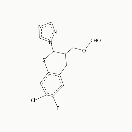 O=COCC1Cc2cc(F)c(Cl)cc2SC1n1cncn1